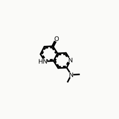 CN(C)c1cc2[nH]ccc(=O)c2cn1